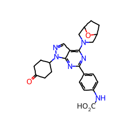 O=C1CCC(n2ncc3c(N4CC5CCC(C4)O5)nc(-c4ccc(NC(=O)O)cc4)nc32)CC1